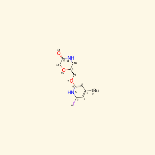 CC(C)(C)C1=CC(I)NC(OC[C@@H]2CNC(=O)CO2)=C1